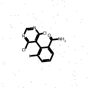 NC(=O)c1cccc(I)c1-c1c(Cl)ncnc1Cl